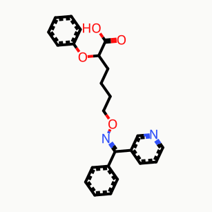 O=C(O)C(CCCCON=C(c1ccccc1)c1cccnc1)Oc1ccccc1